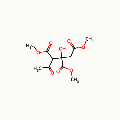 COC(=O)CC(O)(C(=O)OC)C(C(C)=O)C(=O)OC